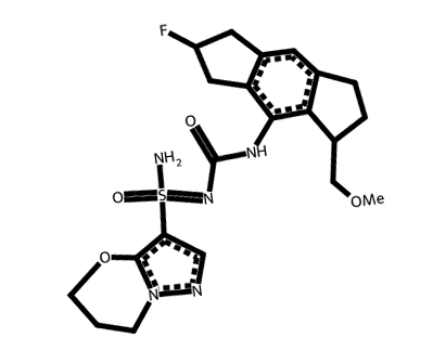 COCC1CCc2cc3c(c(NC(=O)N=S(N)(=O)c4cnn5c4OCCC5)c21)CC(F)C3